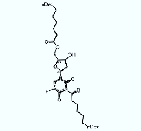 CCCCCCCCCCCCCCCC(=O)OC[C@@H]1O[C@H](n2cc(F)c(=O)n(C(=O)CCCCCCCCCCCCCCC)c2=O)CC1O